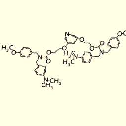 COc1ccc(CN(Cc2ccc(N(C)C)cc2)C(=O)OCCOc2cncc(OCCOC(=O)N(Cc3ccc(OC)cc3)Cc3ccc(N(C)C)cc3)c2)cc1